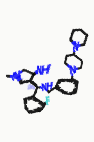 CN1CC(=N)/C(=C(\NCc2cccc(N3CCC(N4CCCCC4)CC3)c2)c2ccccc2F)C1